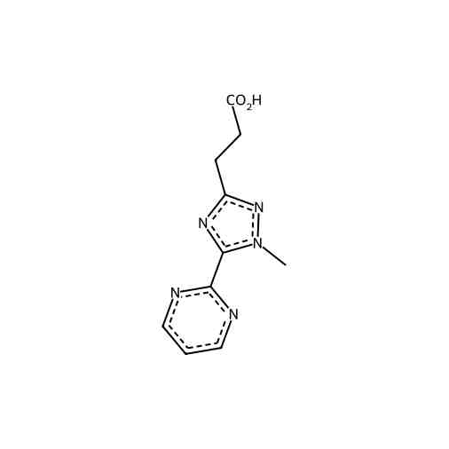 Cn1nc(CCC(=O)O)nc1-c1ncccn1